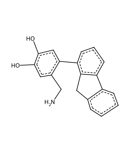 NCc1cc(O)c(O)cc1-c1cccc2c1Cc1ccccc1-2